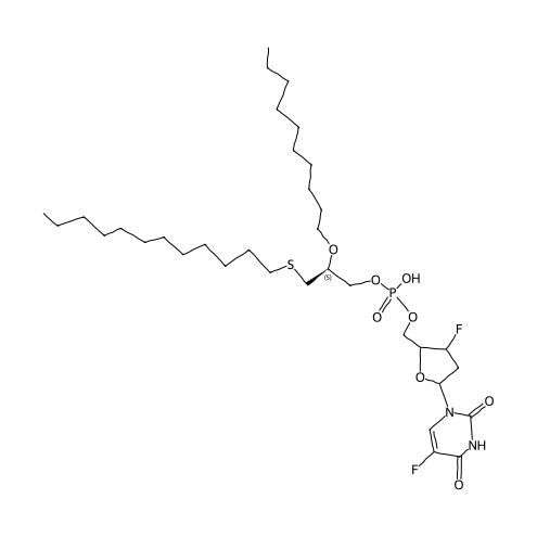 CCCCCCCCCCCCSC[C@H](COP(=O)(O)OCC1OC(n2cc(F)c(=O)[nH]c2=O)CC1F)OCCCCCCCCCC